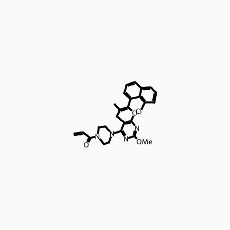 C=CC(=O)N1CCN(c2nc(OC)nc3c2CC(C)=C(c2cccc4cccc(Cl)c24)O3)CC1